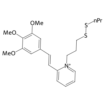 CCCSSCCC[n+]1ccccc1/C=C/c1cc(OC)c(OC)c(OC)c1